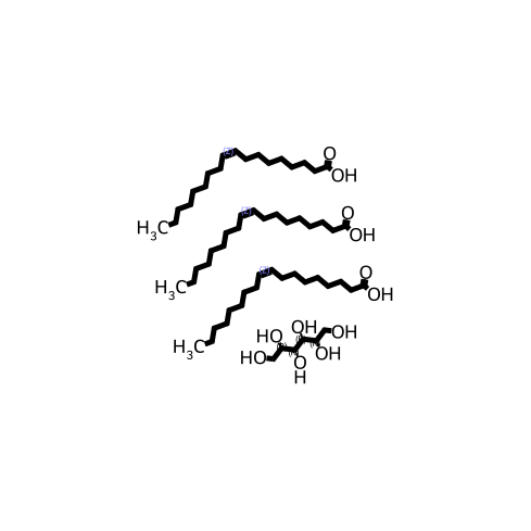 CCCCCCCC/C=C\CCCCCCCC(=O)O.CCCCCCCC/C=C\CCCCCCCC(=O)O.CCCCCCCC/C=C\CCCCCCCC(=O)O.OC[C@@H](O)[C@@H](O)[C@H](O)[C@H](O)CO